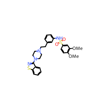 COc1ccc(S(=O)(=O)Nc2cccc(CCN3CCN(c4nsc5ccccc45)CC3)c2)cc1OC